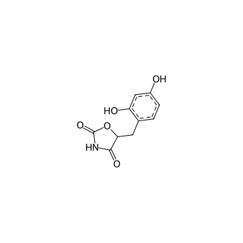 O=C1NC(=O)C(Cc2ccc(O)cc2O)O1